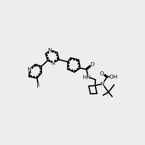 CC(C)(C)N(C(=O)O)C1(CNC(=O)c2ccc(-c3cncc(-c4cncc(F)c4)n3)cc2)CCC1